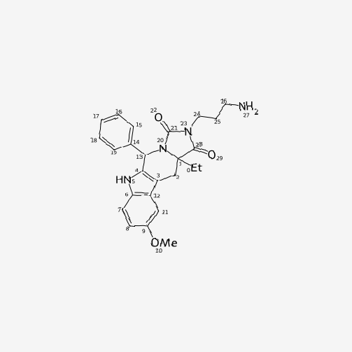 CCC12Cc3c([nH]c4ccc(OC)cc34)C(c3ccccc3)N1C(=O)N(CCCN)C2=O